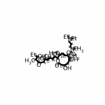 CCC(O)C(C)C1OC1CC(C)(O)/C=C/C=C(\C)C1OC(=O)CC(O)CCC(C)(O)[C@H](OC(=O)N(C)CCCN(CC)CC)/C=C/C1C